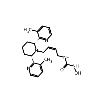 Cc1cccnc1[C@H]1CCC[C@@H](c2ncccc2C)N1C/C=C\CNC(=O)NO